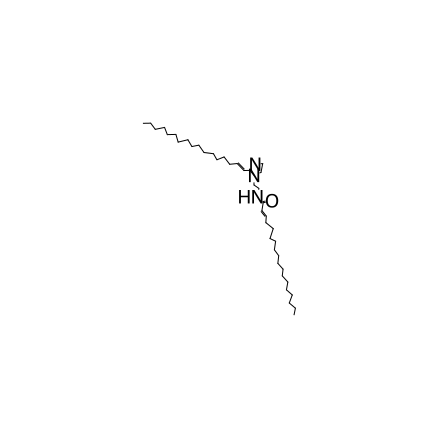 CCCCCCCCCCCCCCCC=CC(=O)NCCN1CCN=C1C=CCCCCCCCCCCCCCCC